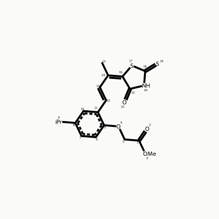 COC(=O)COc1ccc(C(C)C)cc1C=CC(C)=C1SC(=S)NC1=O